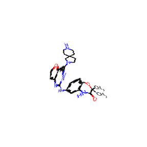 CC1(C)Oc2ccc(Nc3nc(N4CCC5(CCNCC5)C4)c4occc4n3)cc2NC1=O